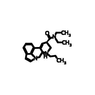 CCCN1C[C@H](C(=O)N(CC)CC)C=C2c3cccc4ccn(c34)C[C@H]21